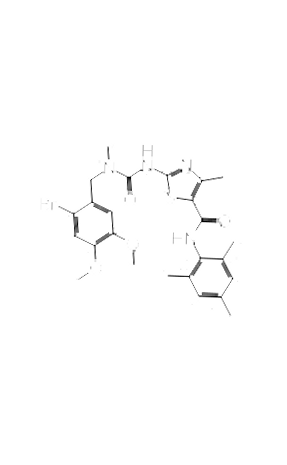 COc1cc(Br)c(CN(C)C(=O)Nc2nc(C)c(C(=O)Nc3c(C)cc(C)cc3C)s2)cc1OC